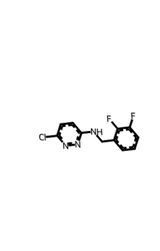 Fc1cccc(CNc2ccc(Cl)nn2)c1F